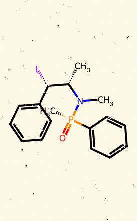 C[C@@H]([C@@H](I)c1ccccc1)N(C)[P@](C)(=O)c1ccccc1